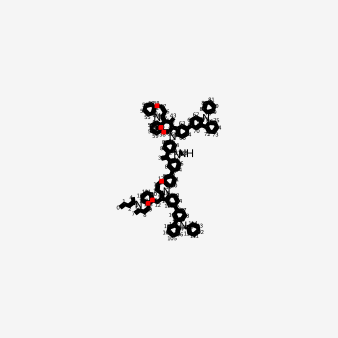 C=C/C=C(\C)N(C(=C)/C=C\C=C/Cc1c(/C=C\C)n(-c2ccc(-c3ccc(N=N)c(C(=C)c4ccc(N5/C(=C/C=C)C(C(C)c6c(/C=C\C)n(-c7ccccc7)c7ccccc67)c6cc(-c7ccc8c(c7)c7ccccc7n8-c7ccccc7)ccc65)cc4)c3)cc2)c2ccc(-c3ccc4c(c3)c3ccccc3n4-c3ccccc3)cc12)c1ccccc1